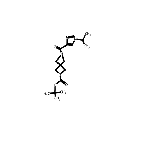 CC(C)n1cnc(C(=O)N2CC3(CN(C(=O)OC(C)(C)C)C3)C2)c1